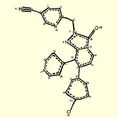 N#Cc1ccc(Cn2nc3c(-c4ccncc4)c(-c4ccc(Cl)cc4)ccn3c2=O)nc1